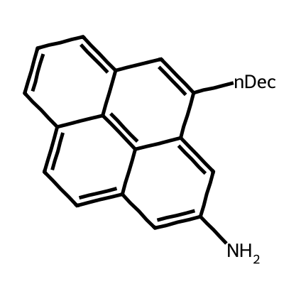 CCCCCCCCCCc1cc2cccc3ccc4cc(N)cc1c4c32